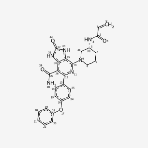 C=CC(=O)N[C@@H]1CCCN(c2nc(-c3ccc(Oc4ccccc4)cc3)c(C(N)=O)c3[nH]c(=O)[nH]c23)C1